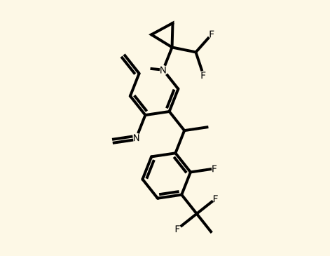 C=C/C=C(N=C)\C(=C/N(C)C1(C(F)F)CC1)C(C)c1cccc(C(C)(F)F)c1F